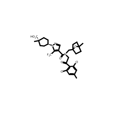 Cc1cc(Cl)c(C(=O)CN(CC23CCC(C)(CC2)O3)C(=O)c2cnn([C@H]3CC[C@](C)(C(=O)O)CC3)c2C(F)(F)F)c(Cl)c1